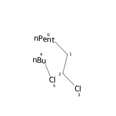 CCCCCCCCl.CCCCCl